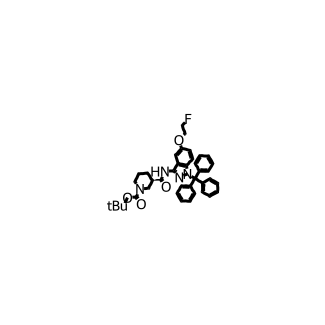 CC(C)(C)OC(=O)N1CCC[C@@H](C(=O)Nc2nn(C(c3ccccc3)(c3ccccc3)c3ccccc3)c3ccc(OCCF)cc23)C1